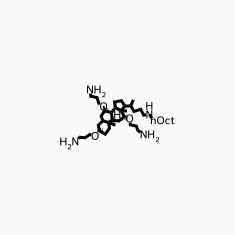 CCCCCCCCNCCCC(C)C1CCC2C3[C@H](OCCCN)CC4C[C@H](OCCCN)CCC4(C)[C@H]3C[C@H](OCCCN)C12C